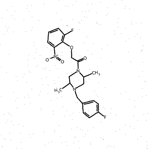 CC1CN(C(=O)COc2c(F)cccc2[N+](=O)[O-])C(C)CN1Cc1ccc(F)cc1